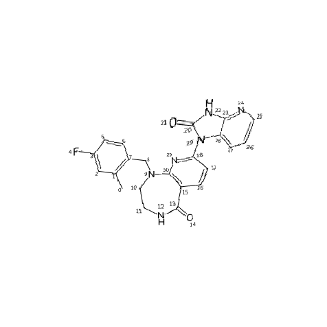 Cc1cc(F)ccc1CN1CCNC(=O)c2ccc(-n3c(=O)[nH]c4ncccc43)nc21